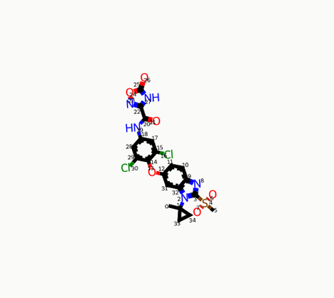 CC1(n2c(S(C)(=O)=O)nc3ccc(Oc4c(Cl)cc(NC(=O)c5noc(=O)[nH]5)cc4Cl)cc32)CC1